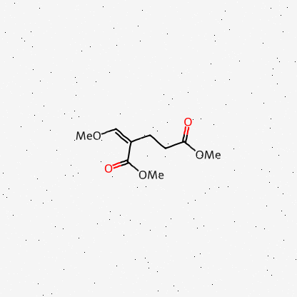 COC=C(CCC(=O)OC)C(=O)OC